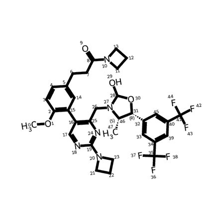 COc1ccc(CCC(=O)N2CCC2)cc1-c1cnc(N2CCC2)nc1CN1C(O)O[C@H](c2cc(C(F)(F)F)cc(C(F)(F)F)c2)[C@@H]1C